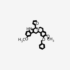 COc1ccc2[nH]c3c(c2c1)CC1c2cc(OCc4ccccc4)c(OC)cc2CCN1C3c1ccco1